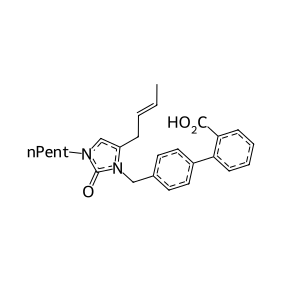 CC=CCc1cn(CCCCC)c(=O)n1Cc1ccc(-c2ccccc2C(=O)O)cc1